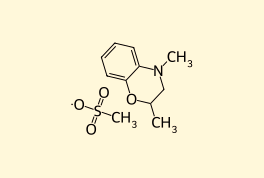 CC1CN(C)c2ccccc2O1.CS([O])(=O)=O